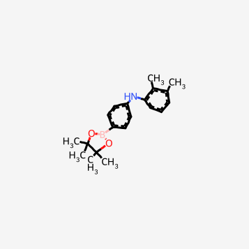 Cc1cccc(Nc2ccc(B3OC(C)(C)C(C)(C)O3)cc2)c1C